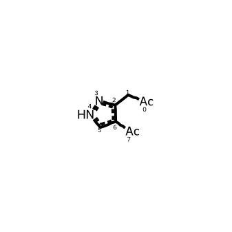 CC(=O)Cc1n[nH]cc1C(C)=O